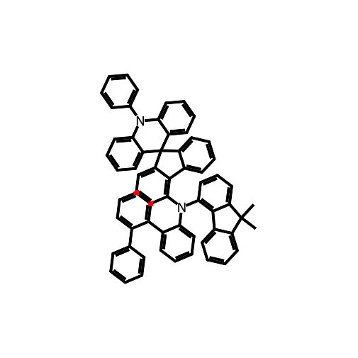 CC1(C)c2ccccc2-c2c(N(c3ccccc3-c3ccccc3-c3ccccc3)c3cccc4c3-c3ccccc3C43c4ccccc4N(c4ccccc4)c4ccccc43)cccc21